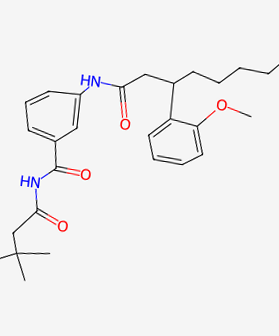 CCCCCC(CC(=O)Nc1cccc(C(=O)NC(=O)CC(C)(C)C)c1)c1ccccc1OC